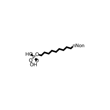 CCCCCCCCCCCCCCCCCCOP(=O)(O)OO